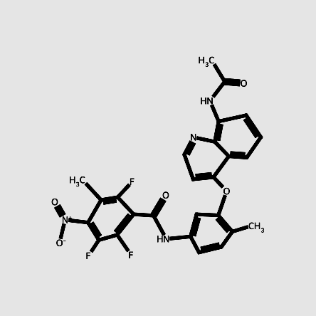 CC(=O)Nc1cccc2c(Oc3cc(NC(=O)c4c(F)c(C)c([N+](=O)[O-])c(F)c4F)ccc3C)ccnc12